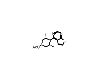 CC(=O)ON1C[C@@H](C)N(c2ncnc3sccc23)[C@@H](C)C1